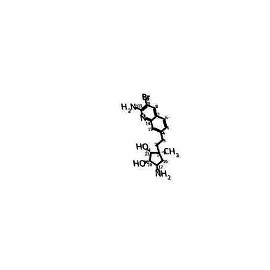 C[C@]1(CCc2ccc3cc(Br)c(N)nc3c2)C[C@@H](N)[C@H](O)[C@@H]1O